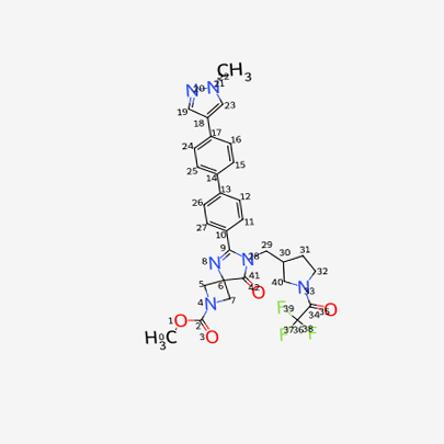 COC(=O)N1CC2(C1)N=C(c1ccc(-c3ccc(-c4cnn(C)c4)cc3)cc1)N(CC1CCN(C(=O)C(F)(F)F)C1)C2=O